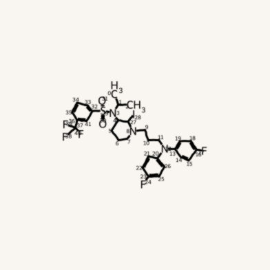 CC(C)N(C1CCCN(CCCN(c2ccc(F)cc2)c2ccc(F)cc2)C1I)S(=O)(=O)c1cccc(C(F)(F)F)c1